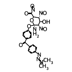 CN(C)/N=N/c1ccc(C(=O)c2ccc(O[C@@]3(N)OC(C(=O)N=O)[C@H](N=O)[C@@H](O)[C@@H]3N=O)cc2)cc1